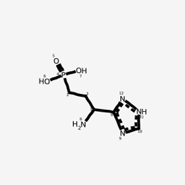 NC(CCP(=O)(O)O)c1nc[nH]n1